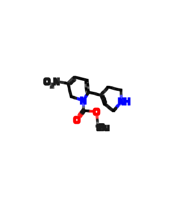 CC(C)(C)OC(=O)N1CC([N+](=O)[O-])=CC=C1C1=CCNCC1